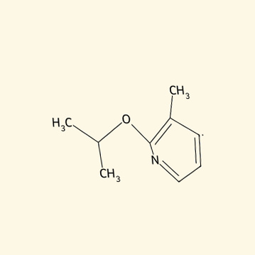 Cc1[c]ccnc1OC(C)C